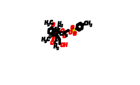 CO[C@@H]1CC[C@]23CC[C@@H](C)[C@](C)(C12)[C@H](OC(=O)COS(=O)(=O)c1ccc(C)cc1)C[C@](C)(CCO)C(=O)[C@@H]3C